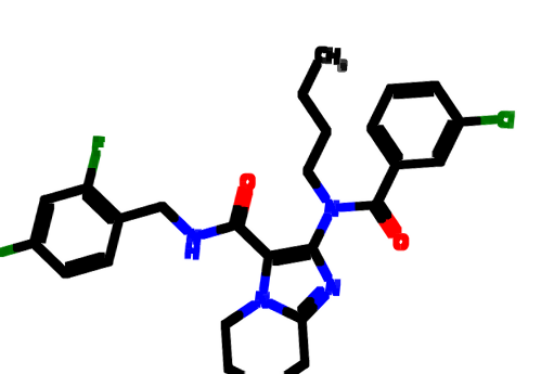 CCCCN(C(=O)c1cccc(Cl)c1)c1nc2n(c1C(=O)NCc1ccc(F)cc1F)CCCC2